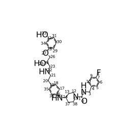 O=C(NCc1ccc(F)cc1)N1CCC(Nc2ccc(CCNCC(O)COc3cccc(O)c3)cc2)CC1